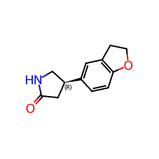 O=C1C[C@H](c2ccc3c(c2)CCO3)CN1